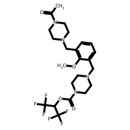 COc1c(CN2CCN(C(C)=O)CC2)cccc1CN1CCN(C(=O)OC(C(F)(F)F)C(F)(F)F)CC1